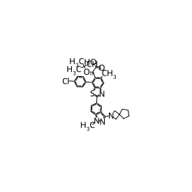 Cc1cc2nc(-c3ccc4c(c3)c(N3CC5(CCCC5)C3)nn4C)sc2c(-c2ccc(Cl)cc2)c1[C@H](OC(C)(C)C)C(=O)O